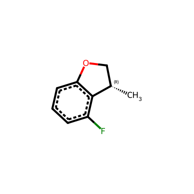 C[C@H]1COc2cccc(F)c21